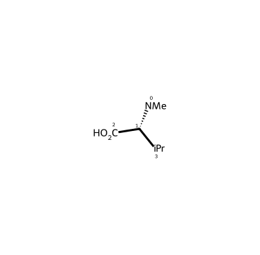 CN[C@@H](C(=O)O)C(C)C